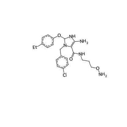 CCc1ccc(OC2NC(N)=C(C(=O)NCCCON)N2Cc2ccc(Cl)cc2)cc1